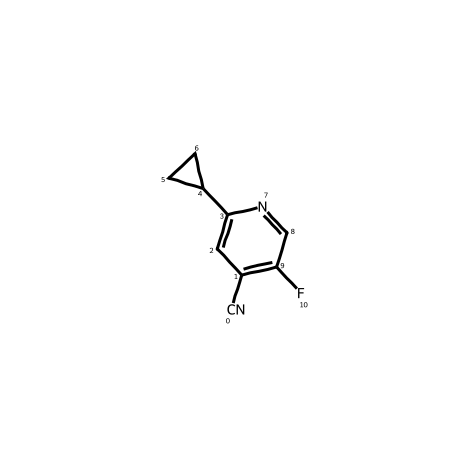 N#Cc1cc(C2CC2)ncc1F